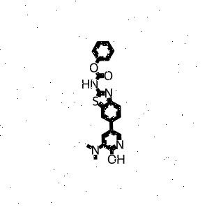 CN(C)c1cc(-c2ccc3nc(NC(=O)Oc4ccccc4)sc3c2)cnc1O